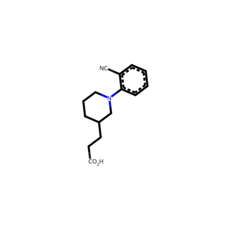 N#Cc1ccccc1N1CCCC(CCC(=O)O)C1